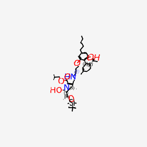 C=C(C)[C@@H]1CCC(C)=C[C@H]1c1c(O)cc(CCCCC)cc1OC/C=C/NCC1=C(C(=O)OCC(C)C)N2C(O)[C@H]([C@@H](C)O[Si](C)(C)C(C)(C)C)C2[C@H]1C